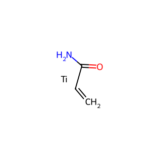 C=CC(N)=O.[Ti]